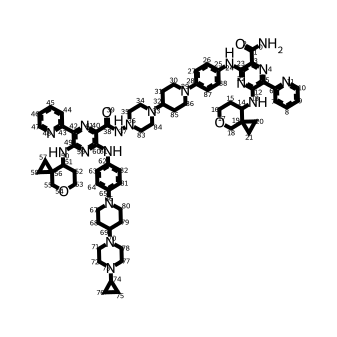 NC(=O)c1nc(-c2ccccn2)c(NC2CCOCC23CC3)nc1Nc1ccc(N2CCC(N3CCN(NC(=O)c4nc(-c5ccccn5)c(NC5CCOCC56CC6)nc4Nc4ccc(N5CCC(N6CCN(C7CC7)CC6)CC5)cc4)CC3)CC2)cc1